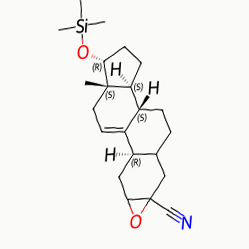 C[C@]12CC=C3[C@@H](CCC4CC5(C#N)OC5C[C@@H]34)[C@@H]1CC[C@H]2O[Si](C)(C)C